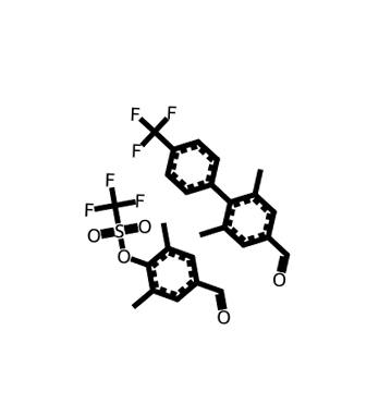 Cc1cc(C=O)cc(C)c1-c1ccc(C(F)(F)F)cc1.Cc1cc(C=O)cc(C)c1OS(=O)(=O)C(F)(F)F